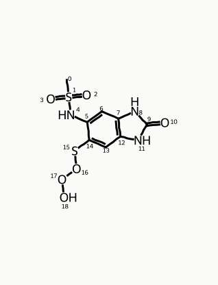 CS(=O)(=O)Nc1cc2[nH]c(=O)[nH]c2cc1SOOO